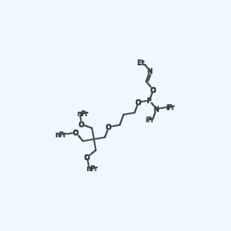 CCCOCC(COCCC)(COCCC)COCCCOP(O/C=N/CC)N(C(C)C)C(C)C